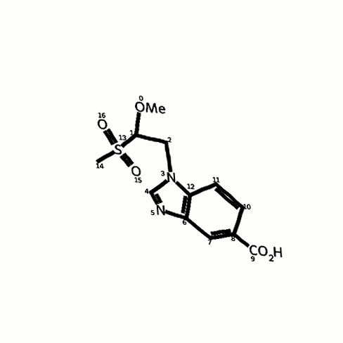 COC(Cn1cnc2cc(C(=O)O)ccc21)S(C)(=O)=O